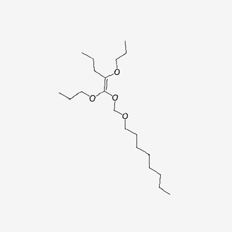 CCCCCCCCOCOC(OCCC)=C(CCC)OCCC